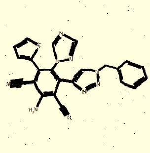 N#Cc1c(N)c(C#N)c(-c2cccs2)c(-n2cncn2)c1-c1cn(Cc2ccccc2)nn1